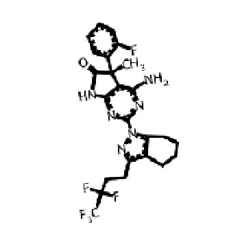 CC1(c2ccccc2F)C(=O)Nc2nc(-n3nc(CCC(F)(F)C(F)(F)F)c4c3CCCC4)nc(N)c21